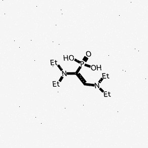 CCN(C=C(N(CC)CC)P(=O)(O)O)CC